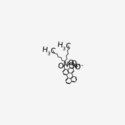 CCCCCCC(CCCCCC)N1C(=O)c2ccc3c4cccc5cccc(c6cc([N+](=O)[O-])c(c2c36)C1=O)c54